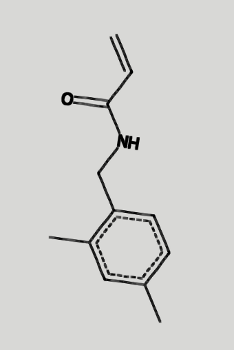 C=CC(=O)NCc1ccc(C)cc1C